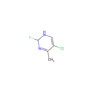 CC1=N[C](F)NC=C1Cl